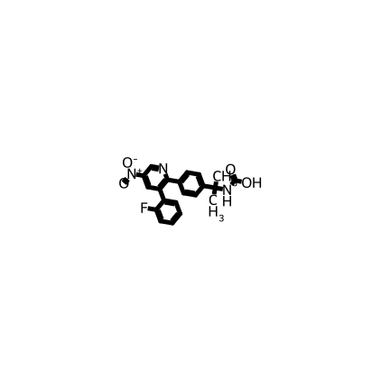 CC(C)(NC(=O)O)c1ccc(-c2ncc([N+](=O)[O-])cc2-c2ccccc2F)cc1